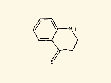 S=C1CCNc2ccccc21